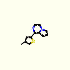 Cc1csc(-c2nccn3cccc23)c1